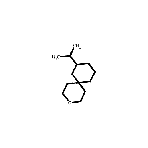 CC(C)C1CCCC2(CCOCC2)C1